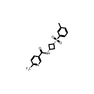 Cc1cccc(S(=O)(=O)[C@H]2C[C@@H](NC(=O)c3ccc(C(F)(F)F)nc3)C2)c1